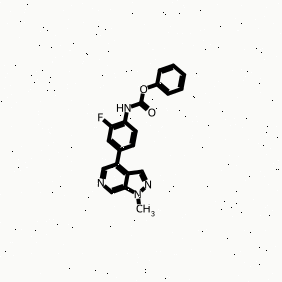 Cn1ncc2c(-c3ccc(NC(=O)Oc4ccccc4)c(F)c3)cncc21